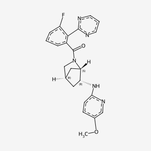 COc1ccc(N[C@@H]2C[C@@H]3C[C@@H]2N(C(=O)c2cccc(F)c2-c2ncccn2)C3)nc1